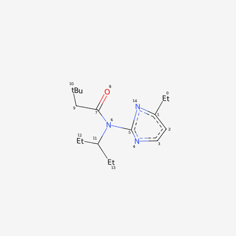 CCc1ccnc(N(C(=O)CC(C)(C)C)C(CC)CC)n1